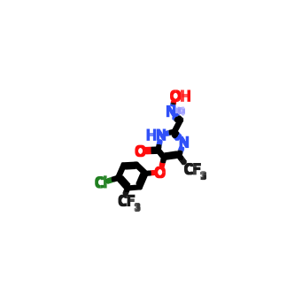 O=c1[nH]c(/C=N/O)nc(C(F)(F)F)c1Oc1ccc(Cl)c(C(F)(F)F)c1